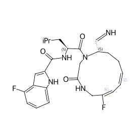 CC(C)C[C@H](NC(=O)c1cc2c(F)cccc2[nH]1)C(=O)N1CC(=O)NC/C(F)=C\C=C/CC[C@H]1C=N